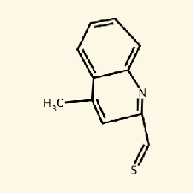 Cc1cc(C=S)nc2ccccc12